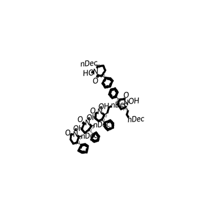 CCCCCCCCCCCC[C@@H]1CC[C@H](c2ccccc2)C(=O)N1O.CCCCCCCCCCCC[C@H]1[C@H](c2ccccc2)CCC(=O)N1O.CCCCCCCCCC[C@@H]1CC[C@H](c2ccccc2)C(=O)N1O.CCCCCCCCCC[C@@H]1[C@H](c2ccccc2)CCC(=O)N1O.CCCCCCCCCC[C@H]1[C@H](c2ccccc2)CCC(=O)N1O